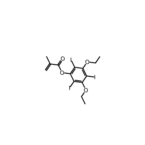 C=C(C)C(=O)Oc1c(I)c(OCC)c(I)c(OCC)c1I